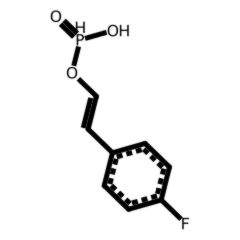 O=[PH](O)OC=Cc1ccc(F)cc1